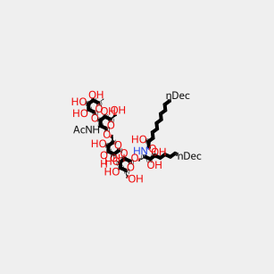 CCCCCCCCCCCCCCCCCCC[C@@H](O)C(=O)N[C@@H](CO[C@H]1O[C@H](CO)[C@H](O)[C@H](O)[C@H]1O[C@H]1O[C@H](CO[C@@H]2O[C@H](CO)[C@H](O)[C@H](O[C@@H]3O[C@@H](C)[C@H](O)[C@@H](O)[C@H]3O)[C@H]2NC(C)=O)[C@H](O)[C@H](O)[C@H]1O)[C@H](O)[C@H](O)CCCCCCCCCCCCCC